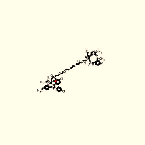 COc1ccc(C2=N[C@H](c3ccc(Cl)cc3)[C@H](c3ccc(Cl)cc3)N2C(=O)N2CCN(CCOCCOCCOCCOCCC(=O)NCCn3nc(C#N)c4c3CN(C)C(=O)c3ccc(F)cc3[C@@H](C)Oc3nc-4cnc3N)C(=O)C2)c(OC(C)C)c1